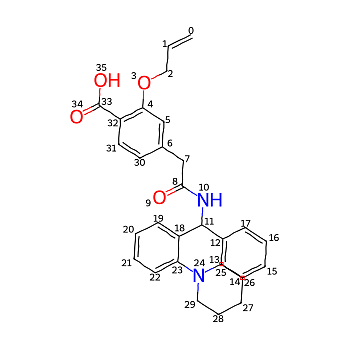 C=CCOc1cc(CC(=O)NC(c2ccccc2)c2ccccc2N2CCCCC2)ccc1C(=O)O